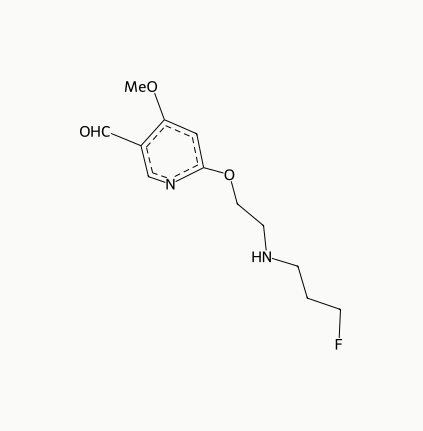 COc1cc(OCCNCCCF)ncc1C=O